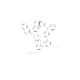 CC(C)(C)c1cc(-c2ccc3c(c2)c2ccccc2n3-c2ccccc2)c2c(c1)c1cc(C(C)(C)C)cc3c4nc5c(nc4n2c13)c1cc2ccccc2c2c3c4ccccc4ccc3n5c12